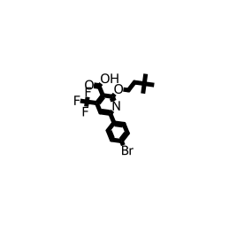 CC(C)(C)CCOc1nc(-c2ccc(Br)cc2)cc(C(F)(F)F)c1C(=O)O